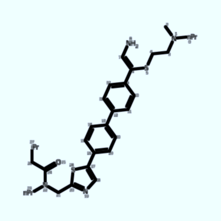 CCCN(C)CCS/C(=C\N)c1ccc(-c2ccc(-c3cnc(CN(CCC)C(=O)CC(C)C)s3)cc2)cc1